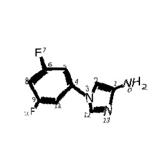 Nc1cn(-c2cc(F)cc(F)c2)cn1